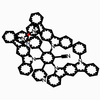 N#Cc1c(-n2c3ccccc3c3cc4c5ccccc5n(-c5ccccc5)c4cc32)c(-c2cccnc2)c(-n2c3ccccc3c3cc4c5ccccc5n(-c5ccccc5)c4cc32)c(-c2cccnc2)c1-n1c2ccccc2c2cc3c4ccccc4n(-c4ccccc4)c3cc21